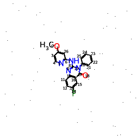 COc1ccnc(Nc2nc3ccc(F)cc3c(=O)n2-c2ccccc2)c1